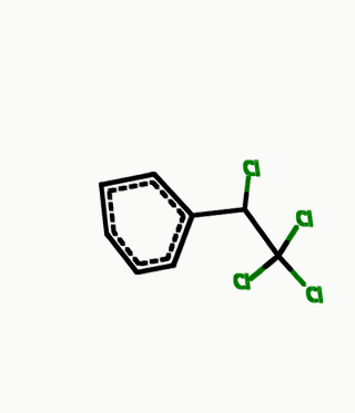 ClC(c1ccccc1)C(Cl)(Cl)Cl